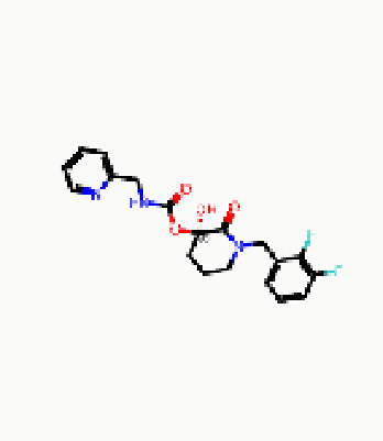 O=C(NCc1ccccn1)O[C@]1(O)CCCN(Cc2cccc(F)c2F)C1=O